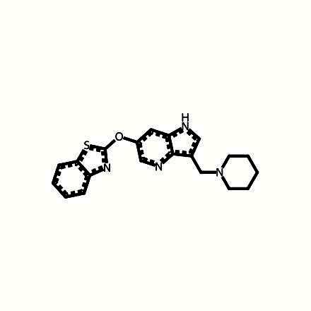 c1ccc2sc(Oc3cnc4c(CN5CCCCC5)c[nH]c4c3)nc2c1